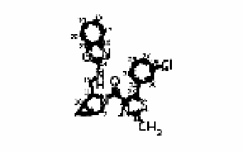 Cc1nc(C(=O)N2CC3CC3C2CNc2nc3ccccc3o2)c(-c2cccc(Cl)c2)s1